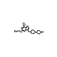 CCC[C@H](C)Oc1nc(N)c2ncc(CC3CCN(C4CCNCC4)CC3)n2n1